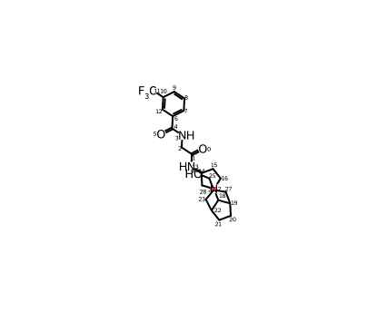 O=C(CNC(=O)c1cccc(C(F)(F)F)c1)NC1CCN(C2C3CCC2CC(CO)C3)C1